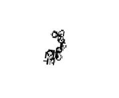 O=C(C1CCCCC1)N1CCC(Oc2ccc(N(C(=O)C3CNC3)c3cccnc3)cc2)CC1